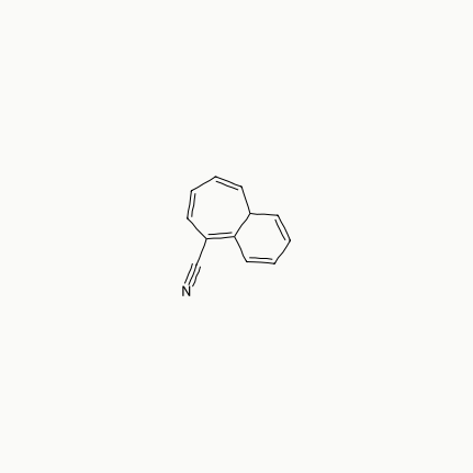 N#CC1=C2C=CC=CC2C=CC=C1